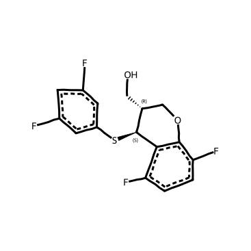 OC[C@@H]1COc2c(F)ccc(F)c2[C@H]1Sc1cc(F)cc(F)c1